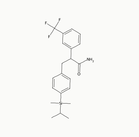 CC(C)[Si](C)(C)c1ccc(CC(C(N)=O)c2cccc(C(F)(F)F)c2)cc1